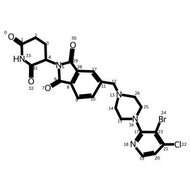 O=C1CCC(N2C(=O)c3ccc(CN4CCN(c5nccc(Cl)c5Br)CC4)cc3C2=O)C(=O)N1